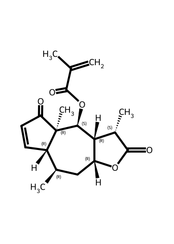 C=C(C)C(=O)O[C@H]1[C@@H]2[C@H](C)C(=O)O[C@@H]2C[C@@H](C)[C@@H]2C=CC(=O)[C@]21C